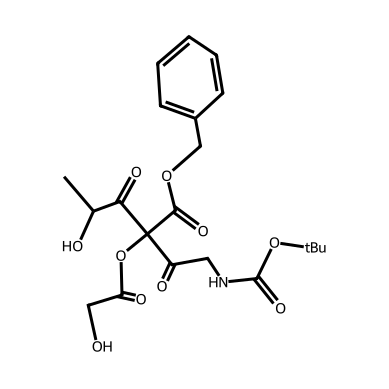 CC(O)C(=O)C(OC(=O)CO)(C(=O)CNC(=O)OC(C)(C)C)C(=O)OCc1ccccc1